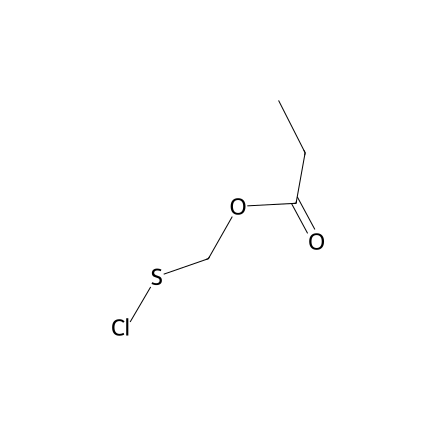 CCC(=O)OCSCl